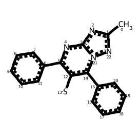 Cc1nc2nc(-c3ccccc3)c([S])c(-c3ccccc3)n2n1